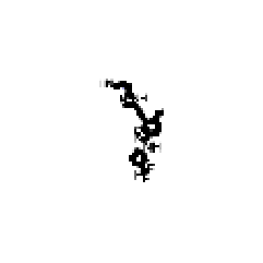 CCc1ccc2c(Nc3cccc(C(F)(F)F)c3)noc2c1C#Cc1cnc(/C=C\C=N)[nH]1